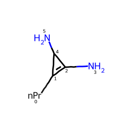 CCCC1=C(N)C1N